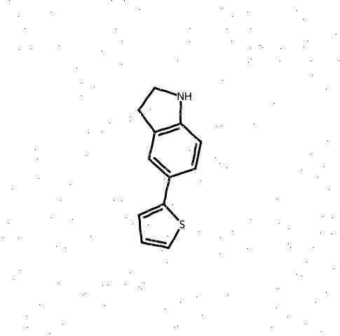 c1csc(-c2ccc3c(c2)CCN3)c1